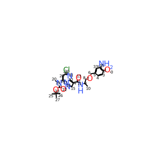 COc1ccc(COCC(C)NC(=O)c2cnn3c(N(C)C(=O)OC(C)(C)C)cc(Cl)nc23)cc1N